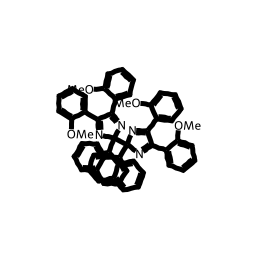 COc1ccccc1C1=NC(c2cccc3ccccc23)(C2(c3cccc4ccccc34)N=C(c3ccccc3OC)C(c3ccccc3OC)=N2)N=C1c1ccccc1OC